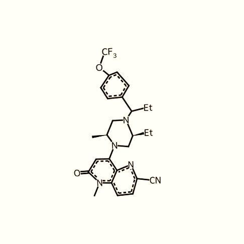 CCC(c1ccc(OC(F)(F)F)cc1)N1C[C@H](C)N(c2cc(=O)n(C)c3ccc(C#N)nc23)C[C@@H]1CC